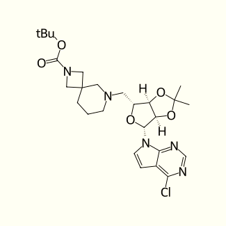 CC(C)(C)OC(=O)N1CC2(CCCN(C[C@H]3O[C@@H](n4ccc5c(Cl)ncnc54)[C@@H]4OC(C)(C)O[C@@H]43)C2)C1